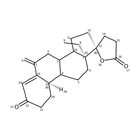 C=C1CC2C(CC[C@@]3(CC)C2CC[C@@]32CCC(=O)O2)[C@H]2CCC(=O)C=C12